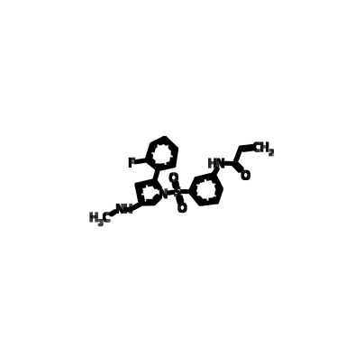 C=CC(=O)Nc1cccc(S(=O)(=O)n2cc(CNC)cc2-c2ccccc2F)c1